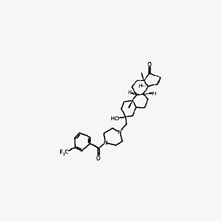 C[C@]12CCC(O)(CN3CCN(C(=O)c4cccc(C(F)(F)F)c4)CC3)CC1CC[C@@H]1[C@H]2CC[C@]2(C)C(=O)CC[C@@H]12